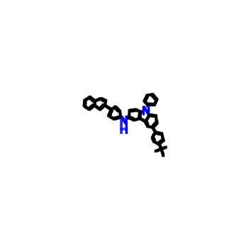 CC(C)(C)c1ccc(-c2ccc3c(c2)c2cc(Nc4ccc(-c5ccc6ccccc6c5)cc4)ccc2n3-c2ccccc2)cc1